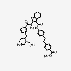 COC(=O)c1ccc(CCc2ccc(NC(=O)c3c(NC(=O)c4cccc(CN5CCNCC5CO)c4)sc4c3CCCC4)cc2)cc1